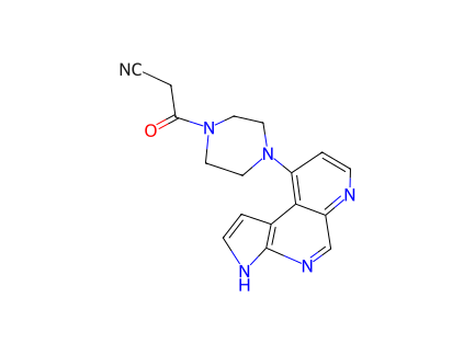 N#CCC(=O)N1CCN(c2ccnc3cnc4[nH]ccc4c23)CC1